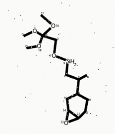 COC(CO[SiH2]CC(C)C1CCC2OC2C1)(OC)OC